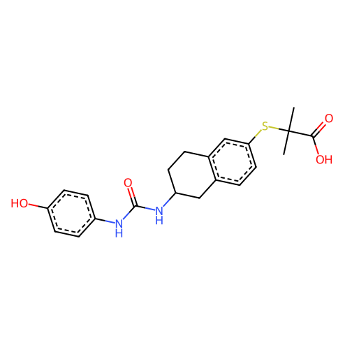 CC(C)(Sc1ccc2c(c1)CCC(NC(=O)Nc1ccc(O)cc1)C2)C(=O)O